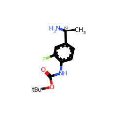 C[C@H](N)c1ccc(NC(=O)OC(C)(C)C)c(F)c1